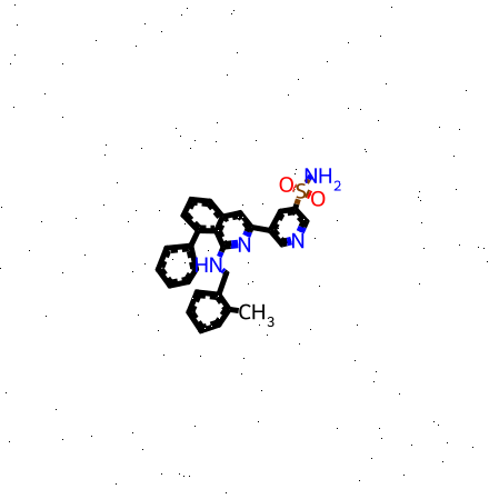 Cc1ccccc1CNc1nc(-c2cncc(S(N)(=O)=O)c2)cc2cccc(-c3ccccc3)c12